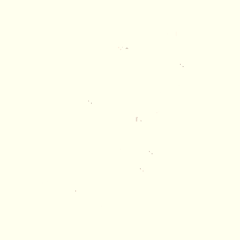 COc1c(C)nc(Cl)c(C(=O)Nc2nnc(OCC3(C)CCOC3)s2)c1-c1ccncc1